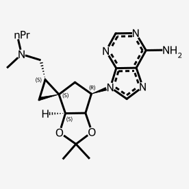 CCCN(C)C[C@H]1C[C@]12C[C@@H](n1cnc3c(N)ncnc31)C1OC(C)(C)O[C@H]12